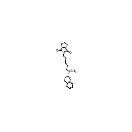 CN(CCCCCN1C(=O)C2CCCN2C1=O)C1CCc2ccccc2O1